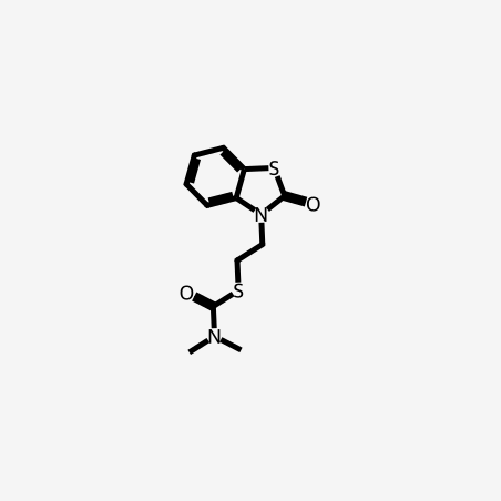 CN(C)C(=O)SCCn1c(=O)sc2ccccc21